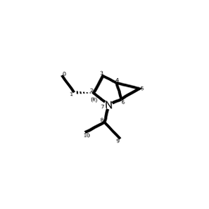 CC[C@@H]1CC2CC2N1C(C)C